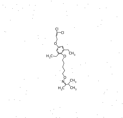 CCc1cc(OCC=C(Cl)Cl)cc(CC)c1OCCCCCON=C(C)C(C)C